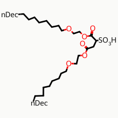 CCCCCCCCCCCCCCCCCCOCCOC(=O)CC(C(=O)OCCOCCCCCCCCCCCCCCCCCC)S(=O)(=O)O